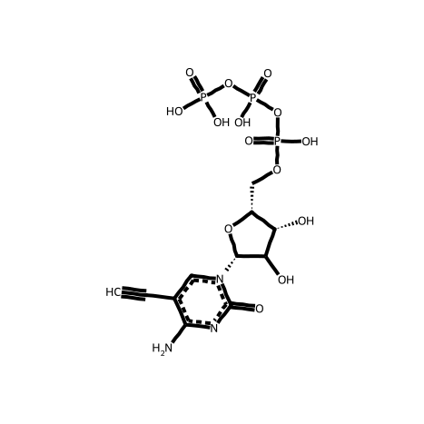 C#Cc1cn([C@@H]2O[C@H](COP(=O)(O)OP(=O)(O)OP(=O)(O)O)[C@H](O)C2O)c(=O)nc1N